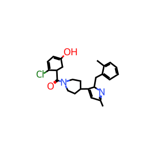 CC1=NC(Cc2ccccc2C)C(C2CCN(C(=O)C3CC(O)=CC=C3Cl)CC2)=C1